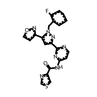 O=C(Nc1ccnc(-c2cc(-c3ccon3)n(Cc3ccccc3F)n2)n1)c1cscn1